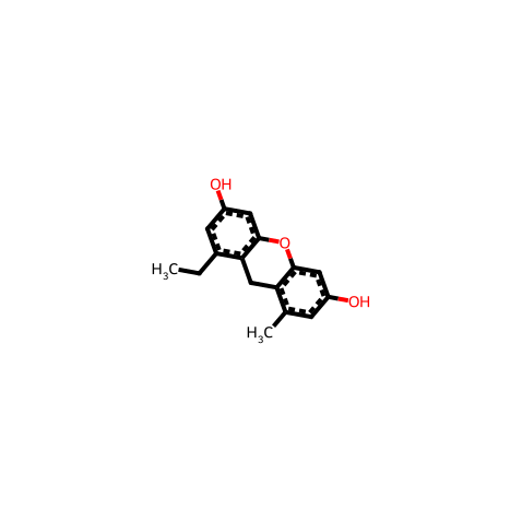 CCc1cc(O)cc2c1Cc1c(C)cc(O)cc1O2